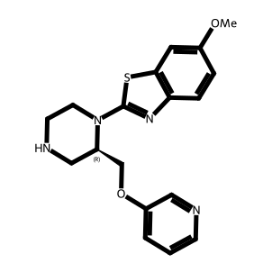 COc1ccc2nc(N3CCNC[C@@H]3COc3cccnc3)sc2c1